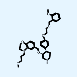 COCCCN1CCOc2ccc(CO[C@H]3CNCC[C@@H]3c3ccc(OCCOCc4ccccc4OC)cc3)cc21